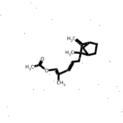 C=C1C2CCC(C2)C1(C)CC=CC(C)=COC(C)=O